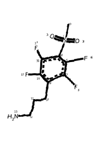 CS(=O)(=O)c1c(F)c(F)c(CCCN)c(F)c1F